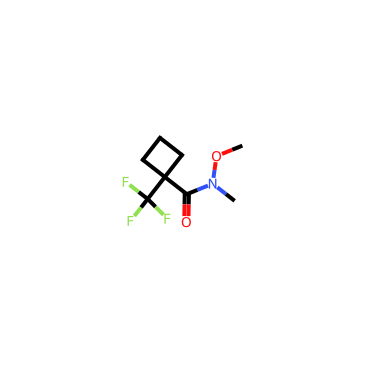 CON(C)C(=O)C1(C(F)(F)F)CCC1